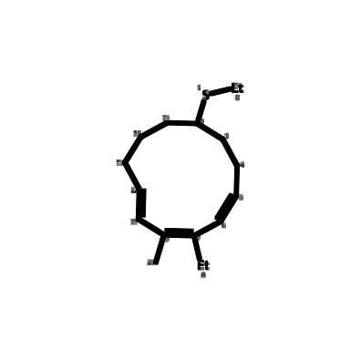 CCSC1CC\C=C/C(CC)=C(C)\C=C\CCC1